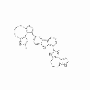 Cc1cc2c(s1)CCCCc1ccn(-c3ccc4sc5c(-c6nc7c(s6)-c6ccnn6CCC7)cccc5c4c3)c1-2